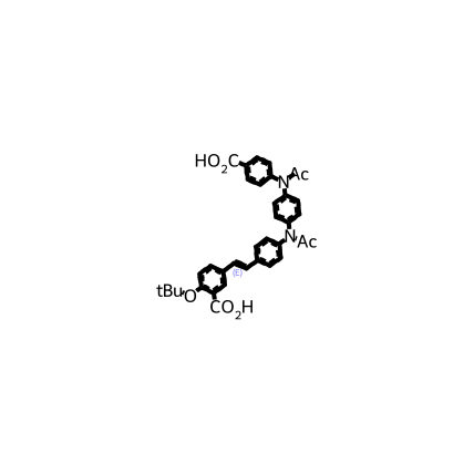 CC(=O)N(c1ccc(/C=C/c2ccc(OC(C)(C)C)c(C(=O)O)c2)cc1)c1ccc(N(C(C)=O)c2ccc(C(=O)O)cc2)cc1